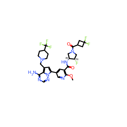 COc1ncc(-c2cc(CN3CCC(C(F)(F)F)CC3)c3c(N)ncnn23)cc1C(=O)N[C@@H]1CN(C(=O)C2CC(F)(F)C2)C[C@@H]1F